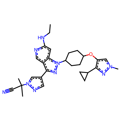 CCNc1cc2c(cn1)c(-c1cnn(C(C)(C)C#N)c1)nn2C1CCC(Oc2cn(C)nc2C2CC2)CC1